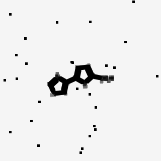 O=C(O)c1ccc(-c2cscn2)s1